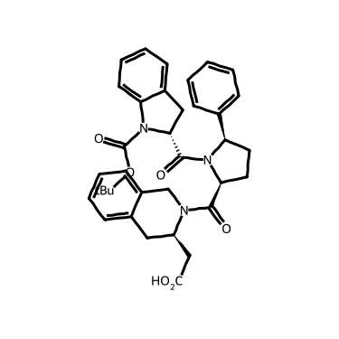 CC(C)(C)OC(=O)N1c2ccccc2C[C@@H]1C(=O)N1[C@@H](c2ccccc2)CC[C@H]1C(=O)N1Cc2ccccc2C[C@@H]1CC(=O)O